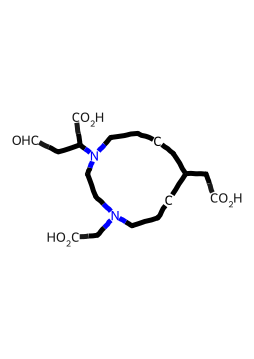 O=CCC(C(=O)O)N1CCCCC(CC(=O)O)CCCN(CC(=O)O)CC1